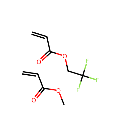 C=CC(=O)OC.C=CC(=O)OCC(F)(F)F